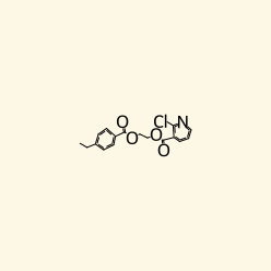 CCc1ccc(C(=O)OCCOC(=O)c2cccnc2Cl)cc1